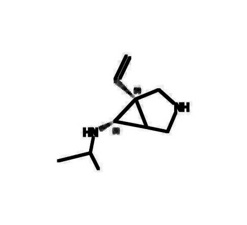 C=C[C@]12CNCC1[C@@H]2NC(C)C